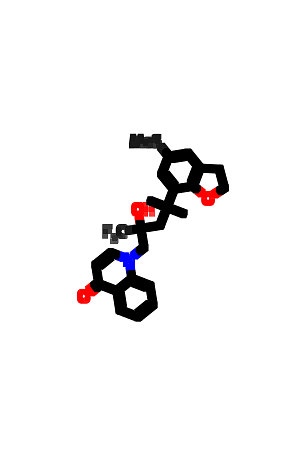 CSc1cc2c(c(C(C)(C)CC(O)(Cn3ccc(=O)c4ccccc43)C(F)(F)F)c1)OCC2